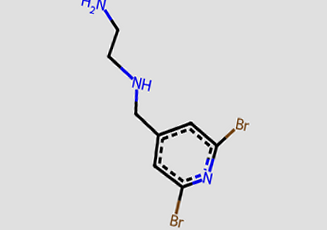 NCCNCc1cc(Br)nc(Br)c1